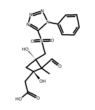 CC1(C=O)[C@](O)(CS(=O)(=O)c2nnnn2-c2ccccc2)C[C@@]1(O)CC(=O)O